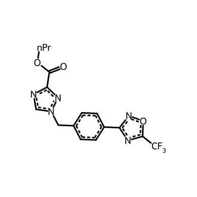 CCCOC(=O)c1ncn(Cc2ccc(-c3noc(C(F)(F)F)n3)cc2)n1